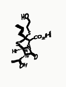 C=CCC1(SCCO)S[C@@H]2[C@@H](C(C)O)C(=O)N2C1C(=O)O